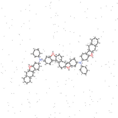 c1ccc(N(c2ccc3c(c2)oc2cc4ccccc4cc23)c2ccc3c(c2)oc2ccc4c(ccc5oc6cc(N(c7ccccc7)c7ccc8c(c7)oc7cc9ccccc9cc78)ccc6c54)c23)cc1